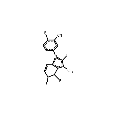 N#Cc1cc(-n2c(F)c(C(F)(F)F)c3c2C=CC(F)C3F)ccc1F